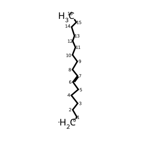 [CH2]CCCCC/C=C/CCCCCCCCC